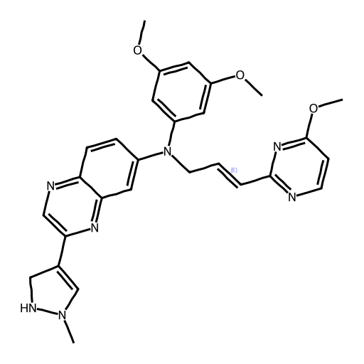 COc1cc(OC)cc(N(C/C=C/c2nccc(OC)n2)c2ccc3ncc(C4=CN(C)NC4)nc3c2)c1